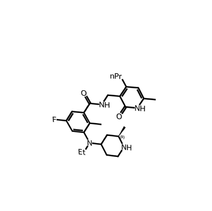 CCCc1cc(C)[nH]c(=O)c1CNC(=O)c1cc(F)cc(N(CC)C2CCN[C@H](C)C2)c1C